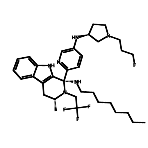 CCCCCCCCN[C@@]1(c2ccc(N[C@H]3CCN(CCCF)C3)cn2)c2[nH]c3ccccc3c2C[C@@H](C)N1CC(F)(F)F